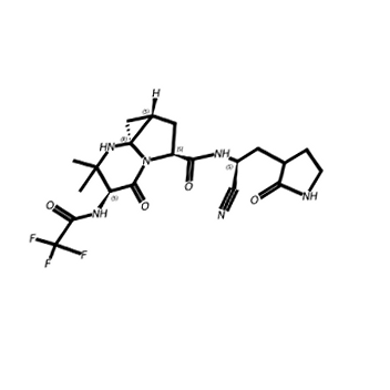 CC1(C)N[C@@]23C[C@@H]2C[C@@H](C(=O)N[C@H](C#N)CC2CCNC2=O)N3C(=O)[C@H]1NC(=O)C(F)(F)F